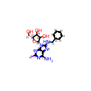 Nc1nc(I)nc2c1nc(NCc1ccccc1)n2[C@@H]1O[C@H](CO)C(O)C1O